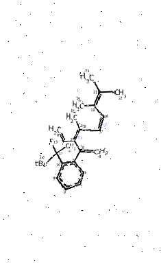 C=C/C(C(=C)c1ccccc1C(C)(F)C(C)(C)C)=C(C)/C=C\C(C)=C(C)C